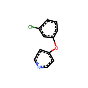 Clc1[c]ccc(Oc2ccncc2)c1